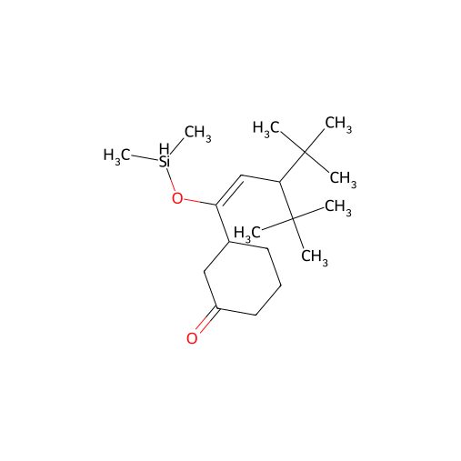 C[SiH](C)OC(=CC(C(C)(C)C)C(C)(C)C)C1CCCC(=O)C1